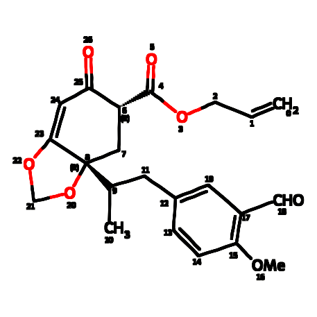 C=CCOC(=O)[C@@H]1C[C@]2(C(C)Cc3ccc(OC)c(C=O)c3)OCOC2=CC1=O